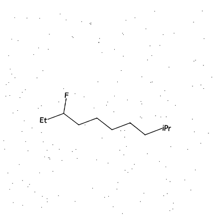 CCC(F)CCCCCC(C)C